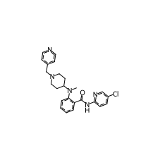 CN(c1ccccc1C(=O)Nc1ccc(Cl)cn1)C1CCN(Cc2ccncc2)CC1